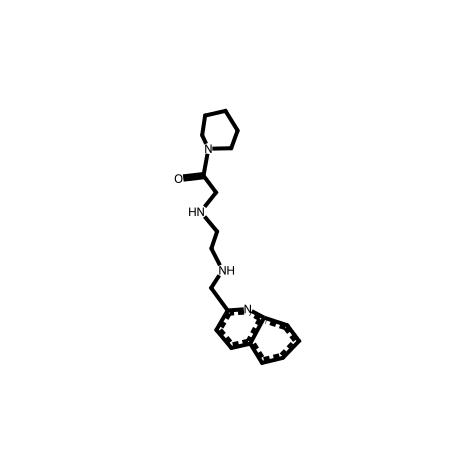 O=C(CNCCNCc1ccc2ccccc2n1)N1CCCCC1